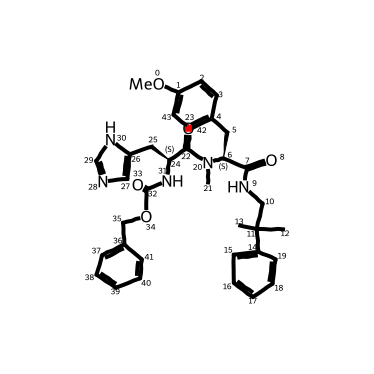 COc1ccc(C[C@@H](C(=O)NCC(C)(C)c2ccccc2)N(C)C(=O)[C@H](Cc2cnc[nH]2)NC(=O)OCc2ccccc2)cc1